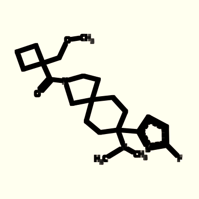 COCC1(C(=O)N2CCC3(CCC(c4ccc(F)s4)(N(C)C)CC3)C2)CCC1